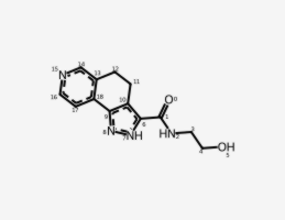 O=C(NCCO)c1[nH]nc2c1CCc1cnccc1-2